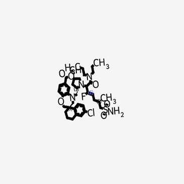 CCCN(CCC)C(=O)C(/C(F)=C/C[C@H](C)CS(N)(=O)=O)N1CCC[C@H]1CN1C[C@@]2(CCCc3cc(Cl)ccc32)COc2ccc(C(=O)OC)cc21